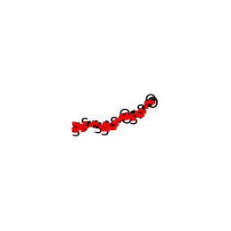 CC1CC2c3c(ccc4c3SC(C)(CCc3ccc5c(c3)SC(C3=CSC6(C)C3CC(C)C3c7c(ccc8cc(CCc9ccc%10c(c9)OC(C9CSC%11=C9C=CC9c%12c(ccc%13cc(CCc%14ccc%15c(c%14)OCO%15)sc%12%13)C%119)CO%10)sc78)C36)C5)C4)C2c2sccc21